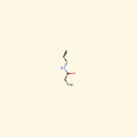 C=CCNC(=O)CC=O